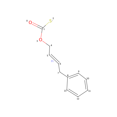 O=C([S])OC/C=C/Cc1ccccc1